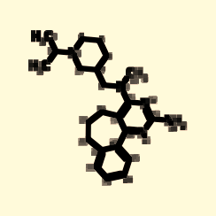 CC(C)N1CCCC(CN(C)c2nc(N)nc3c2CCCc2ccccc2-3)C1